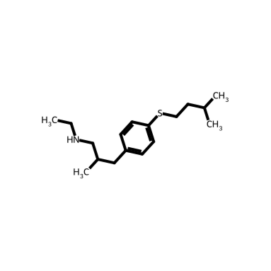 CCNCC(C)Cc1ccc(SCCC(C)C)cc1